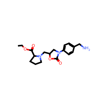 CCOC(=O)C1CCCN1CC1CN(c2ccc(CN)cc2)C(=O)O1